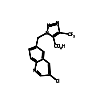 O=C(O)c1c(C(F)(F)F)nnn1Cc1ccc2ncc(Cl)cc2c1